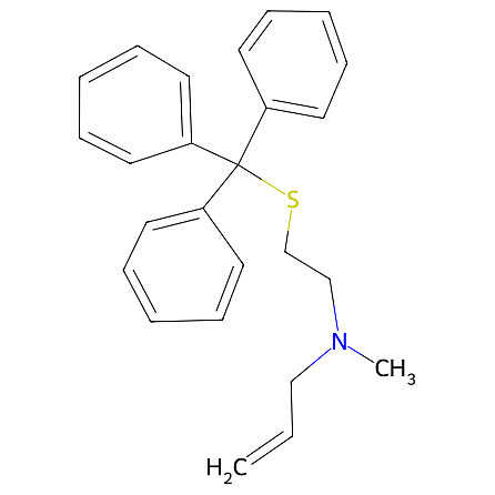 C=CCN(C)CCSC(c1ccccc1)(c1ccccc1)c1ccccc1